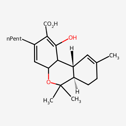 CCCCCC1=CC2OC(C)(C)[C@@H]3CCC(C)=C[C@H]3C2C(O)=C1C(=O)O